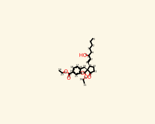 CCCCCC(O)C=C[C@H]1CCC(=O)[C@]1(Cc1ccc(C(=O)OCC)cc1)C(=O)OCC